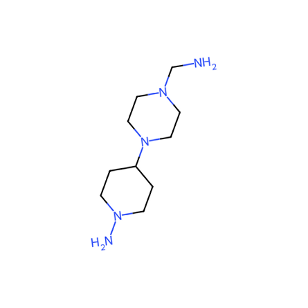 NCN1CCN(C2CCN(N)CC2)CC1